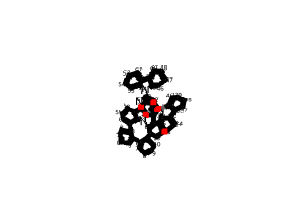 c1ccc2c(c1)c1ccccc1c1cccc3c4ccccc4n(c4c(-c5nc(-n6c7ccccc7c7ccccc76)cc(-n6c7ccccc7c7ccccc76)n5)cccc24)c13